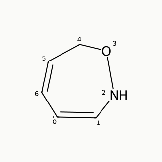 [C]1=CNOCC=C1